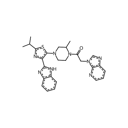 CC(C)c1nc(-c2nc3ccccc3[nH]2)c(N2CCN(C(=O)Cn3cnc4cccnc43)C(C)C2)s1